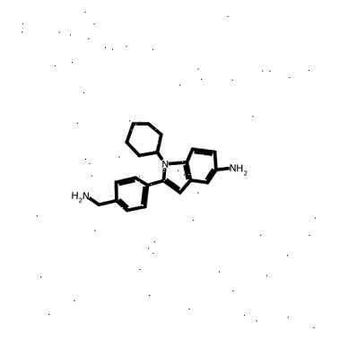 NCc1ccc(-c2cc3cc(N)ccc3n2C2CCCCC2)cc1